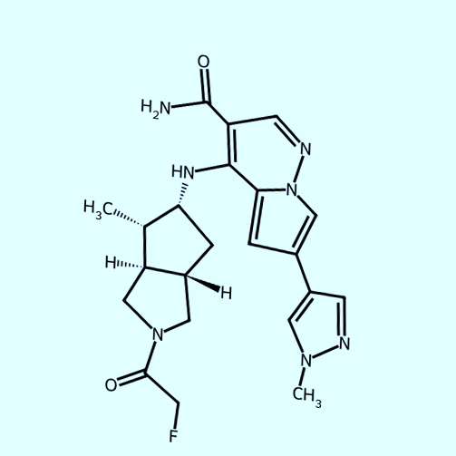 C[C@H]1[C@@H]2CN(C(=O)CF)C[C@H]2C[C@H]1Nc1c(C(N)=O)cnn2cc(-c3cnn(C)c3)cc12